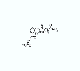 CC(C)(C)C(=O)OCCC(=O)c1cccc2c1OBC(NC(=O)CNC(N)=O)C2